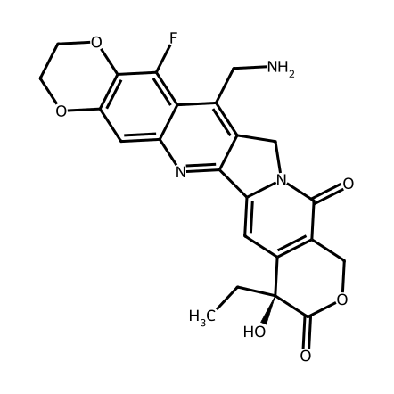 CC[C@@]1(O)C(=O)OCc2c1cc1n(c2=O)Cc2c-1nc1cc3c(c(F)c1c2CN)OCCO3